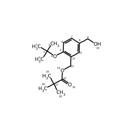 CC(C)(C)Oc1ccc(CO)cc1COC(=O)C(C)(C)C